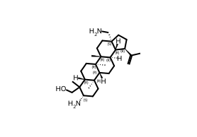 C=C(C)[C@@H]1CC[C@]2(CN)CC[C@]3(C)[C@H](CC[C@@H]4[C@@]5(C)CC[C@H](N)C(C)(CO)[C@@H]5CC[C@]43C)[C@@H]12